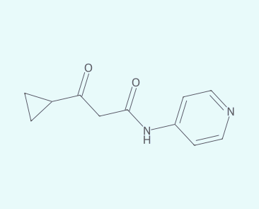 O=C(CC(=O)C1CC1)Nc1ccncc1